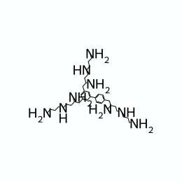 NCCCNCCC(N)Cc1ccc(-c2cc(CC(N)CCNCCCN)cc(CC(N)CCNCCCN)c2)cc1